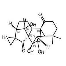 CC1(C)CCC(=O)[C@]23CO[C@@](O)([C@@H](O)C12)[C@]12C(=O)C4(CN4)[C@H](CCC31)[C@H]2O